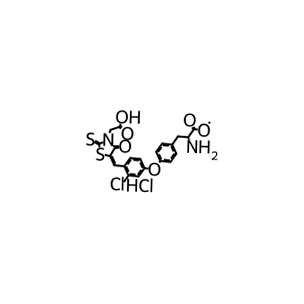 COC(=O)[C@@H](N)Cc1ccc(Oc2ccc(C=C3SC(=S)N(CC(=O)O)C3=O)c(Cl)c2)cc1.Cl